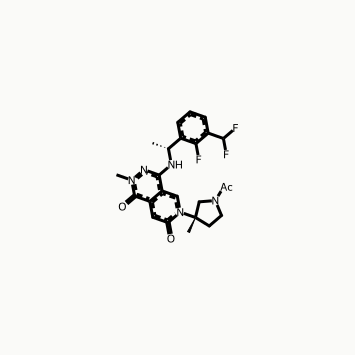 CC(=O)N1CC[C@](C)(n2cc3c(N[C@H](C)c4cccc(C(F)F)c4F)nn(C)c(=O)c3cc2=O)C1